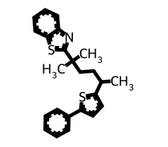 CC(CCC(C)(C)c1nc2ccccc2s1)c1ccc(-c2ccccc2)s1